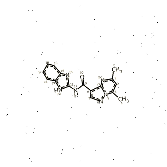 Cc1cc(C)n2ncc(C(=O)Nc3nc4ccccc4[nH]3)c2n1